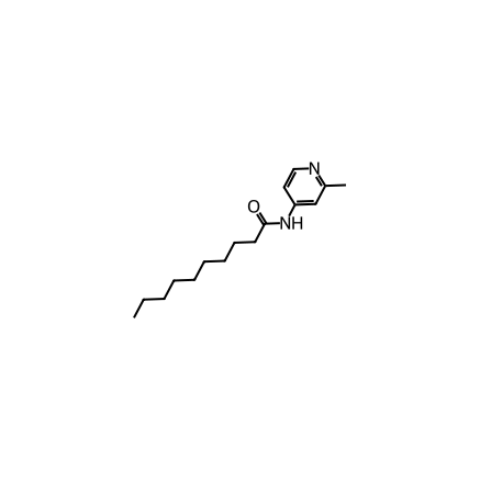 CCCCCCCCCC(=O)Nc1ccnc(C)c1